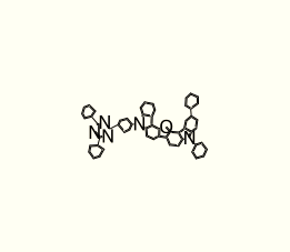 c1ccc(-c2ccc3c(c2)c2c4oc5c(ccc6c5c5ccccc5n6-c5ccc(-c6nc(-c7ccccc7)nc(-c7ccccc7)n6)cc5)c4ccc2n3-c2ccccc2)cc1